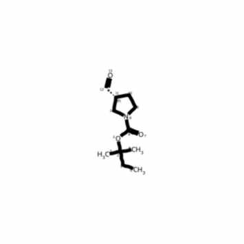 CCC(C)(C)OC(=O)N1CC[C@@H](C=O)C1